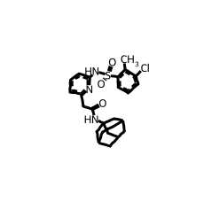 Cc1c(Cl)cccc1S(=O)(=O)Nc1cccc(CC(=O)NC23CC4CC(CC(C4)C2)C3)n1